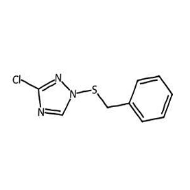 Clc1ncn(SCc2ccccc2)n1